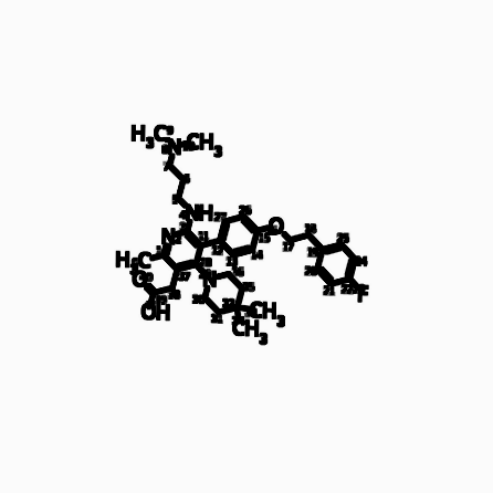 Cc1nc(NCCCN(C)C)c(-c2ccc(OCCc3ccc(F)cc3)cc2)c(N2CCC(C)(C)CC2)c1CC(=O)O